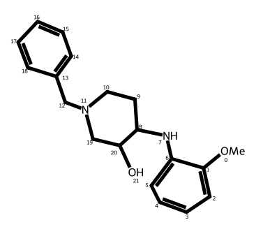 COc1ccccc1NC1CCN(Cc2ccccc2)CC1O